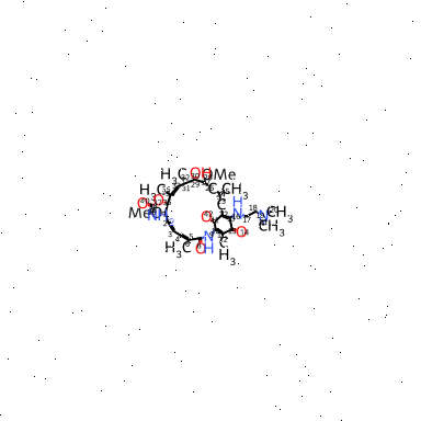 CO[C@H]1C=CC=C(C)C(=O)NC2=C(C)C(=O)C(NCCN(C)C)=C(C[C@@H](C)C[C@H](OC)[C@H](O)[C@@H](C)C=C(C)[C@@H]1OC(N)=O)C2=O